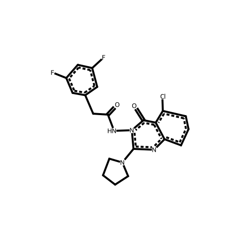 O=C(Cc1cc(F)cc(F)c1)Nn1c(N2CCCC2)nc2cccc(Cl)c2c1=O